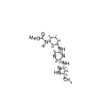 COC(=O)N(F)c1cccc(Nc2cncc(Nc3cc(C)[nH]n3)n2)c1